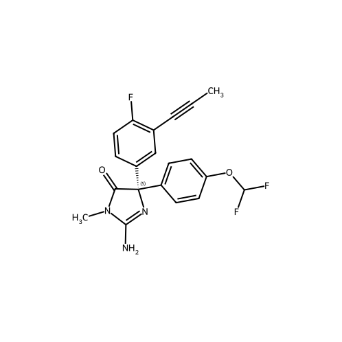 CC#Cc1cc([C@]2(c3ccc(OC(F)F)cc3)N=C(N)N(C)C2=O)ccc1F